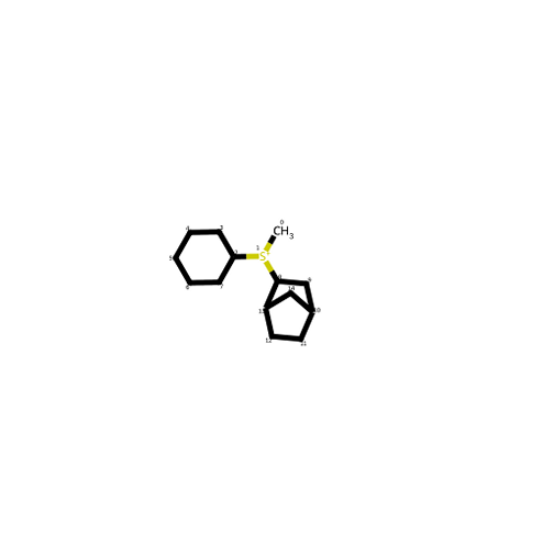 C[S+](C1CCCCC1)C1CC2CCC1C2